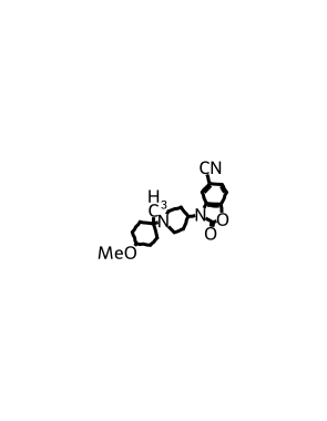 COC1CCC(C)(N2CCC(n3c(=O)oc4ccc(C#N)cc43)CC2)CC1